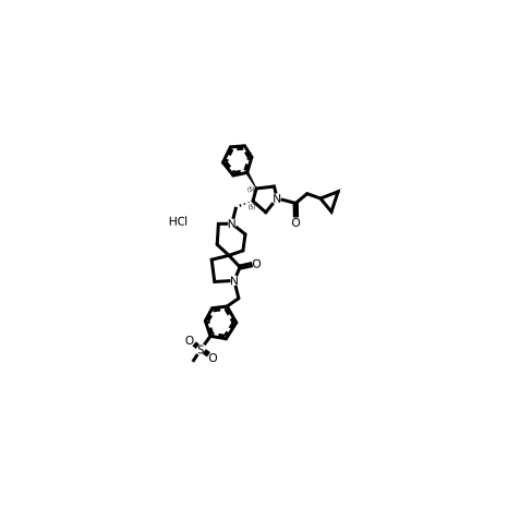 CS(=O)(=O)c1ccc(CN2CCC3(CCN(C[C@H]4CN(C(=O)CC5CC5)C[C@@H]4c4ccccc4)CC3)C2=O)cc1.Cl